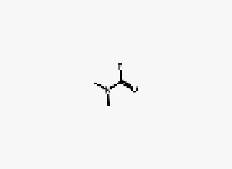 CN(C)C(=O)[P]